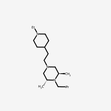 CCN1CCC(CCN2C[C@@H](C)N(CC(C)C)[C@H](C)C2)CC1